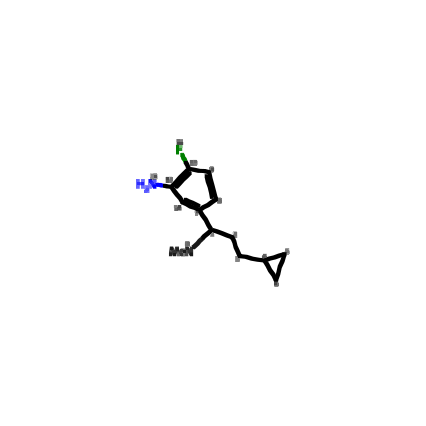 CNC(CCC1CC1)c1ccc(F)c(N)c1